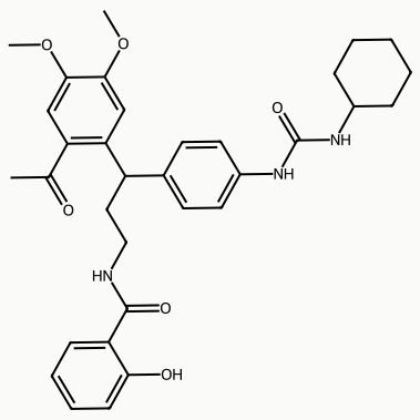 COc1cc(C(C)=O)c(C(CCNC(=O)c2ccccc2O)c2ccc(NC(=O)NC3CCCCC3)cc2)cc1OC